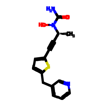 C[C@H](C#Cc1ccc(Cc2cccnc2)s1)N(O)C(N)=O